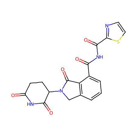 O=C1CCC(N2Cc3cccc(C(=O)NC(=O)c4nccs4)c3C2=O)C(=O)N1